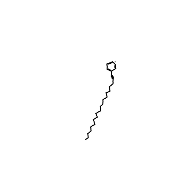 CCCCCCCCCCCCCCCCCCC#Cc1cc[c]cc1